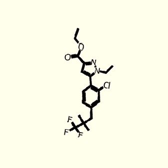 CCOC(=O)c1cc(-c2ccc(CC(C)(C)C(F)(F)F)cc2Cl)n(CC)n1